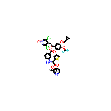 O=C(O[C@@H](Cc1c(Cl)c[n+]([O-])cc1Cl)c1ccc(OC(F)F)c(OCC2CC2)c1)c1cccc(NC(C(=O)O[C@H]2CN3CCC2CC3)c2cccs2)c1